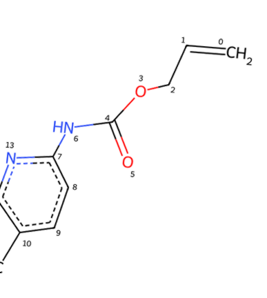 C=CCOC(=O)Nc1ccc(C)cn1